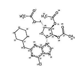 CC(=O)OC[C@H]1O[C@@H](n2cnc3c(Cl)nc(SC4CCCCC4)nc32)[C@H](OC(C)=O)[C@@H]1OC(C)=O